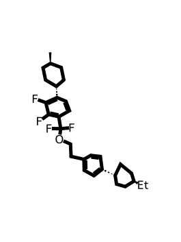 CC[C@H]1CC[C@H](c2ccc(CCOC(F)(F)c3ccc([C@H]4CC[C@H](C)CC4)c(F)c3F)cc2)CC1